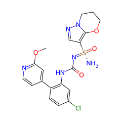 COc1cc(-c2ccc(Cl)cc2NC(=O)N=[S@](N)(=O)c2cnn3c2OCCC3)ccn1